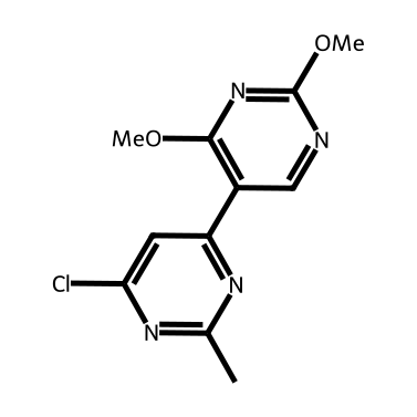 COc1ncc(-c2cc(Cl)nc(C)n2)c(OC)n1